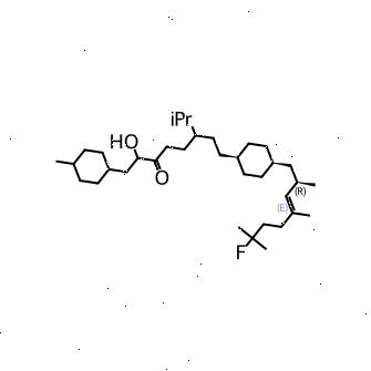 C/C(=C\[C@H](C)C[C@H]1CC[C@@H](CCC(CCC(=O)C(O)CC2CCC(C)CC2)C(C)C)CC1)CCC(C)(C)F